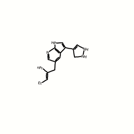 CC/C=C(\CCC)Cc1cnc2[pH]cc(C3=CNNC3)c2c1